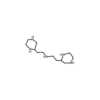 C(CC1CNCCN1)NCCC1CNCCN1